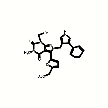 CC(=O)OCc1ccc(-c2c3c(=O)n(C)c(=O)n(CC(C)C)c3nn2Cc2c[nH]nc2-c2ccccc2)o1